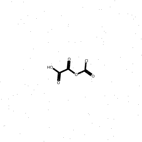 O=C(Cl)OC(=O)C(=O)O